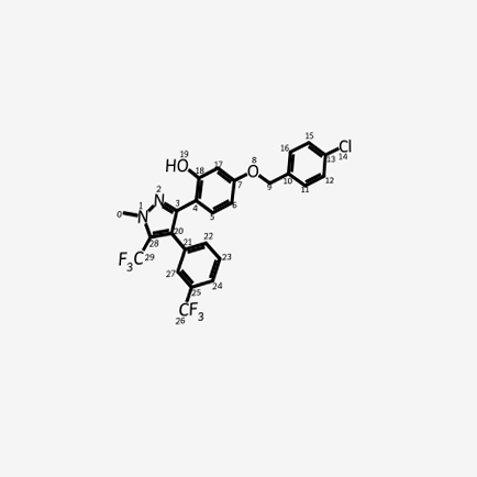 Cn1nc(-c2ccc(OCc3ccc(Cl)cc3)cc2O)c(-c2cccc(C(F)(F)F)c2)c1C(F)(F)F